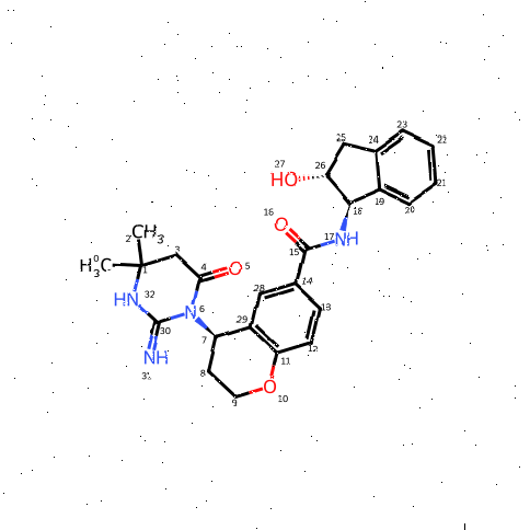 CC1(C)CC(=O)N([C@@H]2CCOc3ccc(C(=O)N[C@@H]4c5ccccc5C[C@H]4O)cc32)C(=N)N1